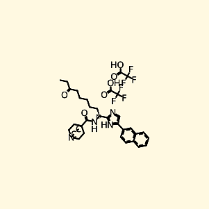 CCC(=O)CCCCC[C@H](NC(=O)C12CCN(CC1)CC2)c1ncc(-c2ccc3ccccc3c2)[nH]1.O=C(O)C(F)(F)F.O=C(O)C(F)(F)F